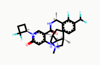 C[C@@H](NC(=O)c1cn([C@@H]2CCC2(F)F)c(=O)cc1N[C@H]1[C@@H]2CC[C@H]1CN(C)C2)c1cccc(C(F)F)c1F